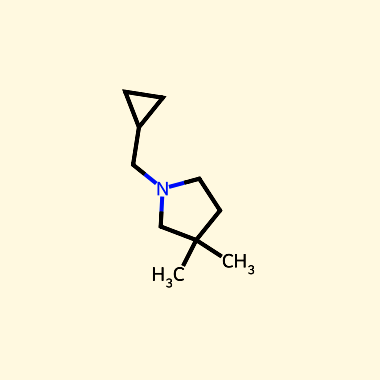 CC1(C)CCN(CC2CC2)C1